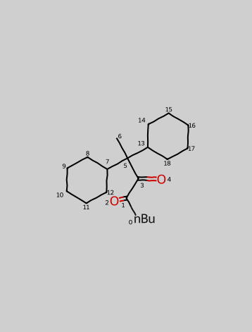 CCCCC(=O)C(=O)C(C)(C1CCCCC1)C1CCCCC1